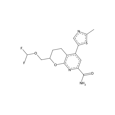 Cc1ncc(-c2cc(C(N)=O)nc3c2CCC(COC(F)F)O3)s1